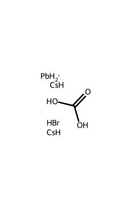 Br.O=C(O)O.[CsH].[CsH].[PbH2]